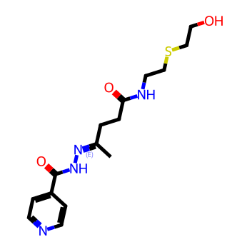 C/C(CCC(=O)NCCSCCO)=N\NC(=O)c1ccncc1